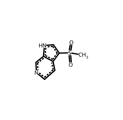 CS(=O)(=O)c1c[nH]c2cnccc12